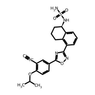 [C-]#[N+]c1cc(-c2nc(-c3cccc4c3CCC[C@H]4NS(N)(=O)=O)no2)ccc1OC(C)C